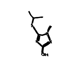 CC(C)Sc1nc(O)nn1C